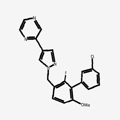 COc1ccc(Cn2cc(-c3cnccn3)cn2)c(F)c1-c1cccc(Cl)c1